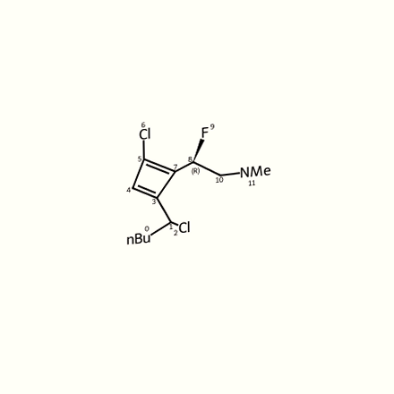 CCCCC(Cl)C1=CC(Cl)=C1[C@@H](F)CNC